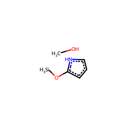 CO.[SiH3]Oc1ccc[nH]1